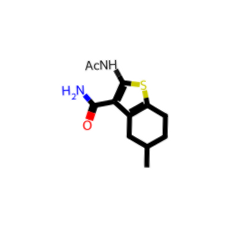 CC(=O)Nc1sc2c(c1C(N)=O)CC(C)CC2